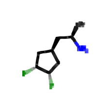 CCC[C@@H](N)C[C@@H]1C[C@@H](F)[C@@H](F)C1